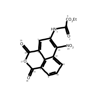 CCOC(=O)C(=O)Nc1cc2c3c(cccc3c1[N+](=O)[O-])C(=O)OC2=O